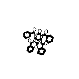 O=C(c1ccccc1)N1C(=O)N(C(=O)c2ccccc2)C2CC1N(C(=O)c1ccccc1)C(=O)N2C(=O)c1ccccc1